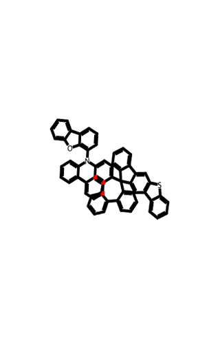 c1ccc(-c2ccccc2N(c2ccc3c(c2)-c2ccccc2-c2ccccc2C32c3ccccc3-c3cc4sc5ccccc5c4cc32)c2cccc3c2oc2ccccc23)cc1